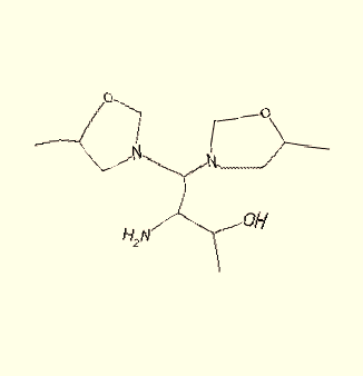 CC1CN(C(C(N)C(C)O)N2COC(C)C2)CO1